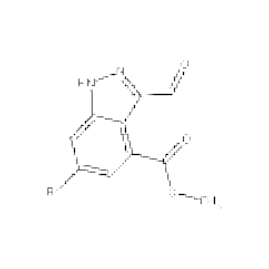 COC(=O)c1cc(Br)cc2[nH]nc(C=O)c12